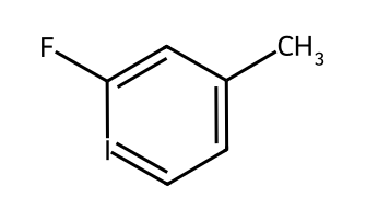 CC1=CC=IC(F)=C1